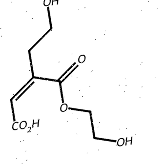 O=C(O)C=C(CCO)C(=O)OCCO